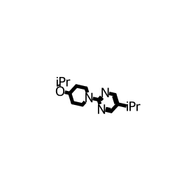 CC(C)OC1CCN(c2ncc(C(C)C)cn2)CC1